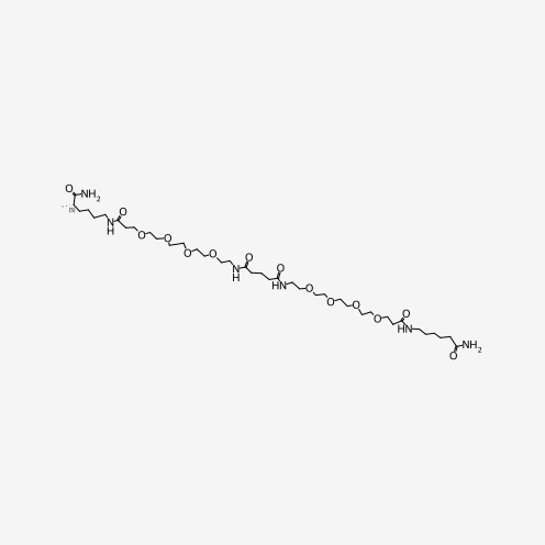 C[C@@H](CCCCNC(=O)CCOCCOCCOCCOCCNC(=O)CCCC(=O)NCCOCCOCCOCCOCCC(=O)NCCCCCC(N)=O)C(N)=O